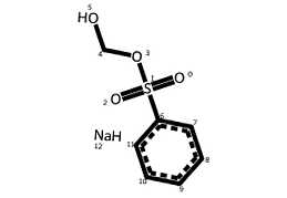 O=S(=O)(OCO)c1ccccc1.[NaH]